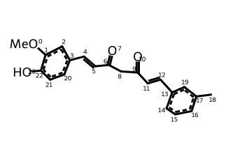 COc1cc(/C=C/C(=O)CC(=O)/C=C/c2cccc(C)c2)ccc1O